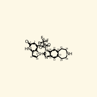 Cc1cc(=O)[nH]c2c1[SH](c1nc3cc4c(cc3n1S(=O)(=O)C(F)(F)F)CCNCC4)C=C2